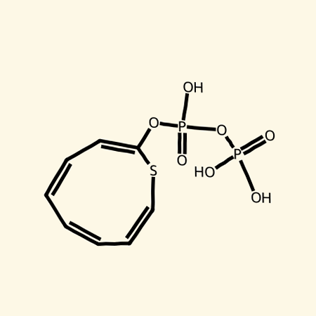 O=P(O)(O)OP(=O)(O)Oc1cccccccs1